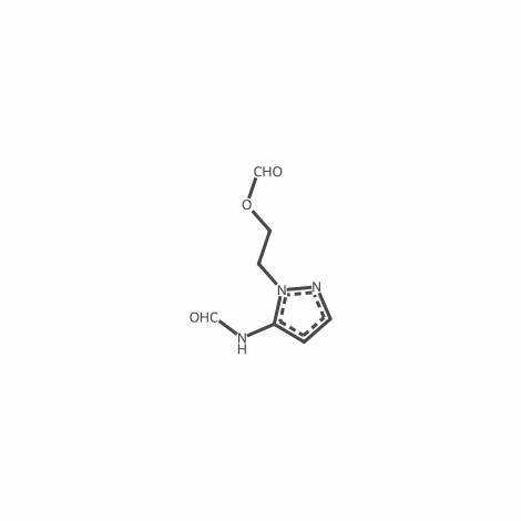 O=CNc1ccnn1CCOC=O